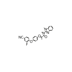 C[C@@H](Oc1ccc(Oc2ccc(C#N)cc2F)cc1)C(=O)N(C)c1nc2ccccc2n1C